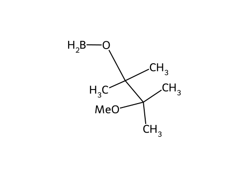 BOC(C)(C)C(C)(C)OC